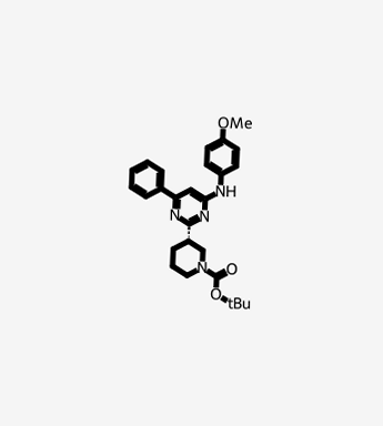 COc1ccc(Nc2cc(-c3ccccc3)nc([C@H]3CCCN(C(=O)OC(C)(C)C)C3)n2)cc1